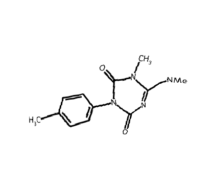 CNc1nc(=O)n(-c2ccc(C)cc2)c(=O)n1C